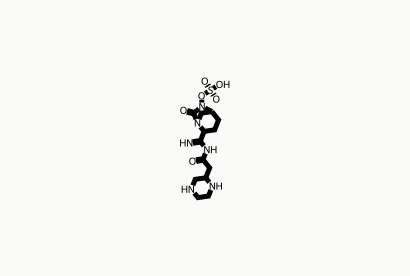 N=C(NC(=O)CC1CNCCN1)C1CCC2CN1C(=O)N2OS(=O)(=O)O